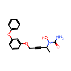 CC(C#CCOc1cccc(Oc2ccccc2)c1)N(O)C(N)=O